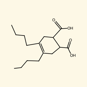 CCCCC1=C(CCCC)CC(C(=O)O)C(C(=O)O)C1